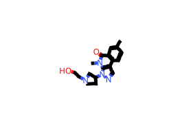 Cc1ccc2c(c1)c(=O)n(C)c1c2cnn1C1CCN(CCO)C1